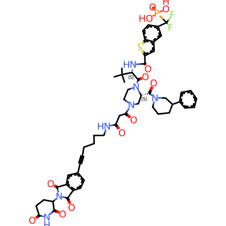 CC(C)(C)[C@H](NC(=O)c1cc2cc(C(F)(F)P(=O)(O)O)ccc2s1)C(=O)N1CCN(C(=O)CC(=O)NCCCCC#Cc2ccc3c(c2)C(=O)N(C2CCC(=O)NC2=O)C3=O)C[C@H]1C(=O)N1CCCC(c2ccccc2)C1